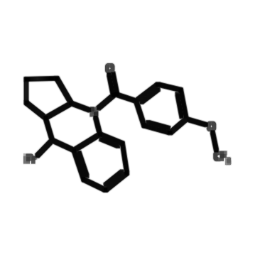 CC(C)C1c2ccccc2N(C(=O)c2ccc(OC(F)(F)F)cc2)C2CCCC12